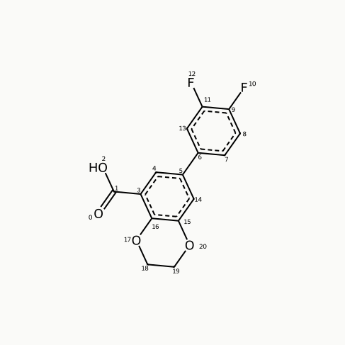 O=C(O)c1cc(-c2ccc(F)c(F)c2)cc2c1OCCO2